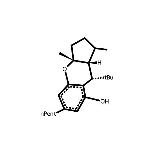 CCCCCc1cc(O)c2c(c1)O[C@]1(C)CCC(C)[C@@H]1[C@@H]2C(C)(C)C